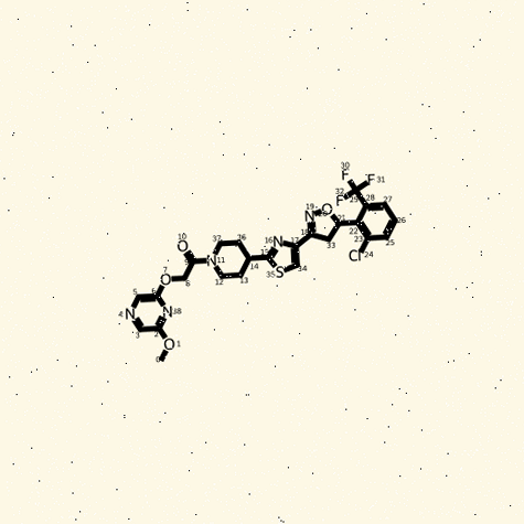 COc1cncc(OCC(=O)N2CCC(c3nc(C4=NOC(c5c(Cl)cccc5C(F)(F)F)C4)cs3)CC2)n1